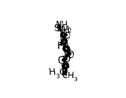 CN(C)Cc1ccc(C(=O)OCC(=O)N2CCN(c3ccc(N4C[C@H](CNC(N)=S)OC4=O)cc3F)CC2)cc1